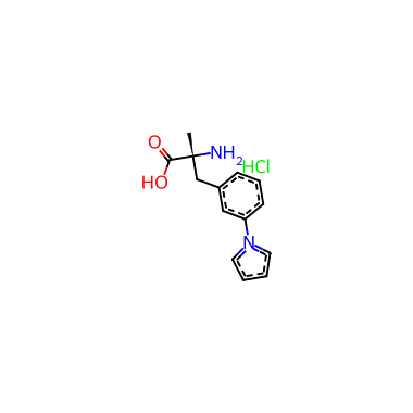 C[C@@](N)(Cc1cccc(-n2cccc2)c1)C(=O)O.Cl